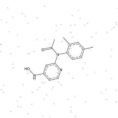 CC(=O)N(c1cc(NO)ccn1)c1ccc(C)cc1C